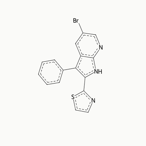 Brc1cnc2[nH]c(-c3nccs3)c(-c3ccccc3)c2c1